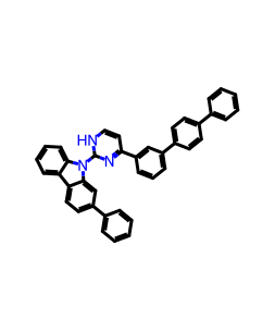 C1=CC(c2cccc(-c3ccc(-c4ccccc4)cc3)c2)=NC(n2c3ccccc3c3ccc(-c4ccccc4)cc32)N1